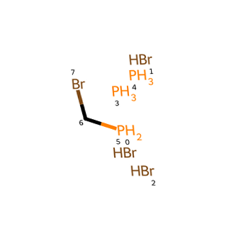 Br.Br.Br.P.P.PCBr